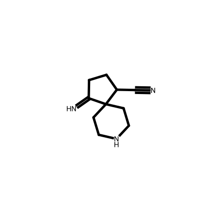 N#CC1CCC(=N)C12CCNCC2